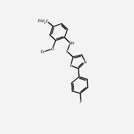 CCOC(=O)c1ccc(NSc2cnc(-c3ccc(F)cc3)s2)c(OCC)c1